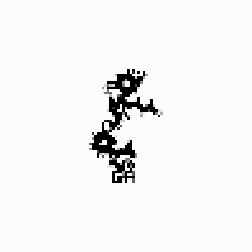 CCCCc1nc(COc2cccc([C@@H](CC(=O)O)C3CC3)c2)cnc1-c1cc(C)ccc1F